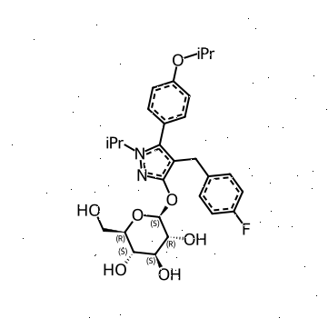 CC(C)Oc1ccc(-c2c(Cc3ccc(F)cc3)c(O[C@@H]3O[C@H](CO)[C@@H](O)[C@H](O)[C@H]3O)nn2C(C)C)cc1